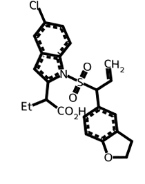 C=CC(c1ccc2c(c1)CCO2)S(=O)(=O)n1c(C(CC)C(=O)O)cc2cc(Cl)ccc21